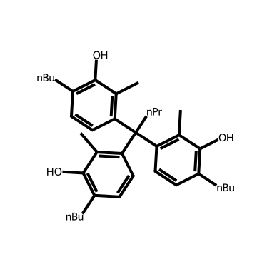 CCCCc1ccc(C(CCC)(c2ccc(CCCC)c(O)c2C)c2ccc(CCCC)c(O)c2C)c(C)c1O